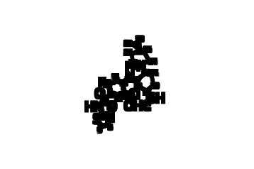 O=CO.O=S(=O)(Nc1nccs1)c1cc(Cl)c(N[C@H]2CCCC[C@@H]2N2CCC3(CC2)CC3)cc1F